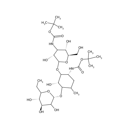 CCC1O[C@H](OC2C(C)C[C@@H](NC(=O)OC(C)(C)C)C(OC3O[C@H](CO)[C@@H](O)C(NC(=O)OC(C)(C)C)[C@H]3O)[C@H]2O)C(O)[C@@H](O)[C@@H]1O